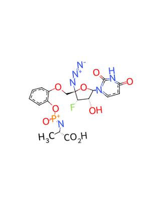 C[C@H](/N=[P+](\[O-])Oc1ccccc1OC[C@@]1(N=[N+]=[N-])O[C@@H](n2ccc(=O)[nH]c2=O)[C@H](O)[C@@H]1F)C(=O)O